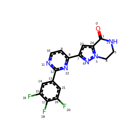 O=C1NCCn2nc(-c3ccnc(-c4cc(F)c(F)c(F)c4)n3)cc21